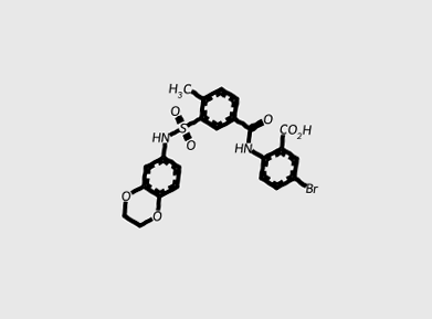 Cc1ccc(C(=O)Nc2ccc(Br)cc2C(=O)O)cc1S(=O)(=O)Nc1ccc2c(c1)OCCO2